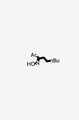 CCCCCCC(=NO)C(C)=O